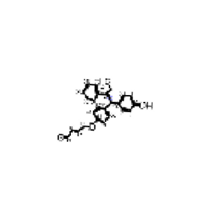 CC/C(=C(\c1ccc(O)cc1)c1ccc(OCCCC=O)cc1)c1ccccc1